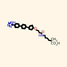 C[C@@H](CCCCNC(=O)CCCOc1ccc(-c2ccc(-c3ccc(-c4nnn[nH]4)cc3)cc2)cc1)C(=O)O